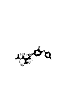 CC(C)NC(=N)c1c(O)nsc1Nc1ccc(Oc2ccc(F)cc2)c(F)c1